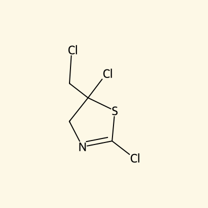 ClCC1(Cl)CN=C(Cl)S1